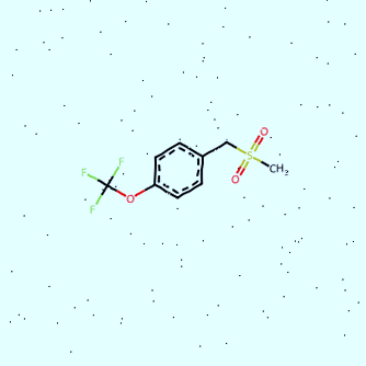 CS(=O)(=O)[CH]c1ccc(OC(F)(F)F)cc1